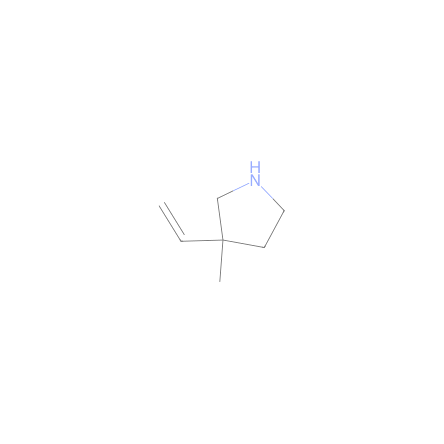 C=CC1(C)CCNC1